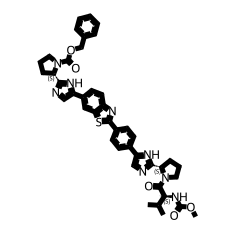 COC(=O)N[C@H](C(=O)N1CCC[C@H]1c1ncc(-c2ccc(-c3nc4ccc(-c5cnc([C@@H]6CCCN6C(=O)OCc6ccccc6)[nH]5)cc4s3)cc2)[nH]1)C(C)C